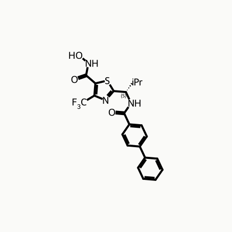 CC(C)[C@H](NC(=O)c1ccc(-c2ccccc2)cc1)c1nc(C(F)(F)F)c(C(=O)NO)s1